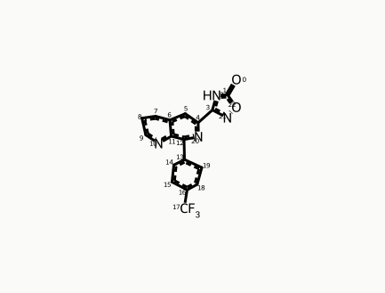 O=c1[nH]c(-c2cc3cccnc3c(-c3ccc(C(F)(F)F)cc3)n2)no1